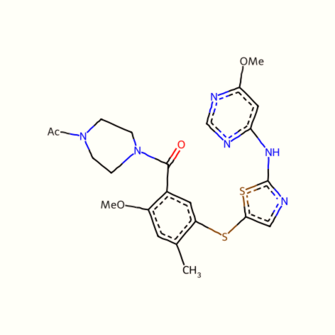 COc1cc(Nc2ncc(Sc3cc(C(=O)N4CCN(C(C)=O)CC4)c(OC)cc3C)s2)ncn1